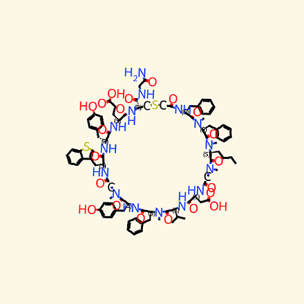 CCCC[C@H]1C(=O)N(C)CC(=O)N[C@@H](CC(=O)O)C(=O)N[C@@H](C(C)C)C(=O)N(C)[C@@H](Cc2ccccc2)C(=O)N[C@@H](Cc2ccc(O)cc2)C(=O)N(C)CC(=O)N[C@@H](Cc2csc3ccccc23)C(=O)N[C@H](Cc2ccc(O)cc2)C(=O)N[C@@H](CCC(=O)O)C(=O)N[C@H](C(=O)NCC(N)=O)CSCC(=O)N[C@@H](Cc2ccccc2)C(=O)N(C)[C@@H](Cc2ccccc2)C(=O)N1C